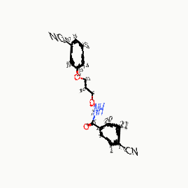 N#Cc1ccc(C(=O)NOCCCOc2cccc(C#N)c2)cc1